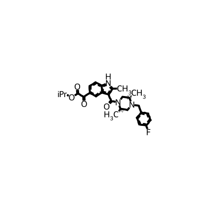 Cc1[nH]c2ccc(C(=O)C(=O)OC(C)C)cc2c1C(=O)N1C[C@H](C)N(Cc2ccc(F)cc2)C[C@H]1C